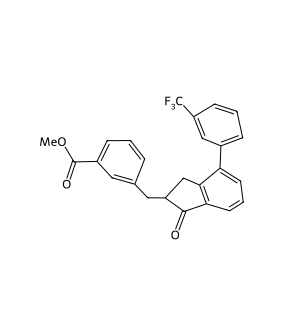 COC(=O)c1cccc(CC2Cc3c(cccc3-c3cccc(C(F)(F)F)c3)C2=O)c1